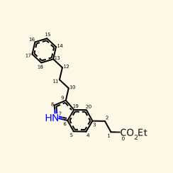 CCOC(=O)CCc1ccc2[nH]cc(CCCc3ccccc3)c2c1